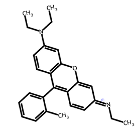 CC/N=c1\ccc2c(-c3ccccc3C)c3ccc(N(CC)CC)cc3oc-2c1